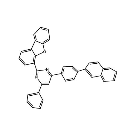 c1ccc(-c2cc(-c3ccc(-c4ccc5ccccc5c4)cc3)nc(-c3cccc4c3oc3ccccc34)n2)cc1